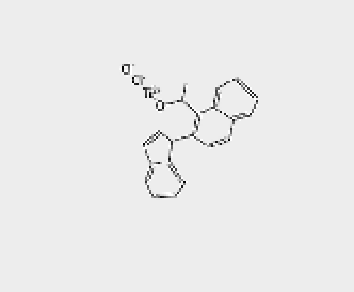 CC([O][Ti+2])c1c(C2C=Cc3ccccc32)ccc2ccccc12.[Cl-].[Cl-]